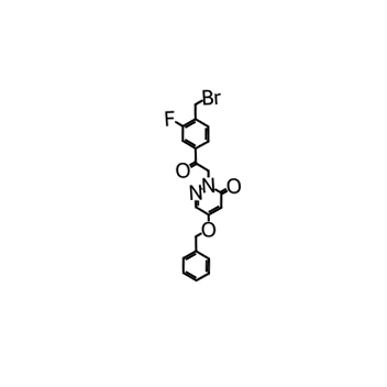 O=C(Cn1ncc(OCc2ccccc2)cc1=O)c1ccc(CBr)c(F)c1